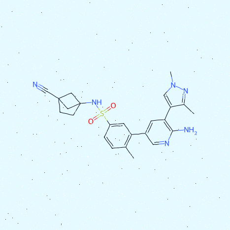 Cc1ccc(S(=O)(=O)NC23CCC(C#N)(C2)C3)cc1-c1cnc(N)c(-c2cn(C)nc2C)c1